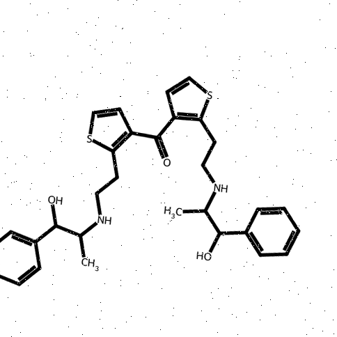 CC(NCCc1sccc1C(=O)c1ccsc1CCNC(C)C(O)c1ccccc1)C(O)c1ccccc1